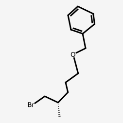 C[C@H](CBr)CCCOCc1ccccc1